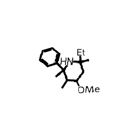 CCC1(C)CC(OC)C(C)C(C)(c2ccccc2)N1